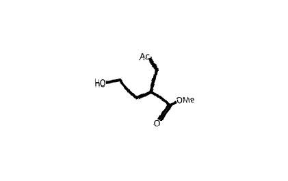 COC(=O)C(CCO)CC(C)=O